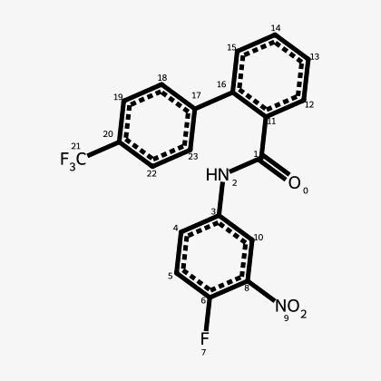 O=C(Nc1ccc(F)c([N+](=O)[O-])c1)c1ccccc1-c1ccc(C(F)(F)F)cc1